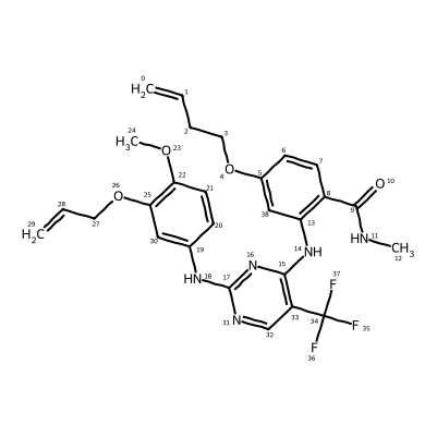 C=CCCOc1ccc(C(=O)NC)c(Nc2nc(Nc3ccc(OC)c(OCC=C)c3)ncc2C(F)(F)F)c1